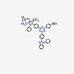 C=C/C=C\C1=C(C)N(c2ccccc2)C(c2ccc(-c3nc(-c4ccc(-c5nc6ccccc6n5C5=CC=CCC5)cc4)nc(-c4ccc(C(C)(C)C)cc4)n3)cc2)N1C